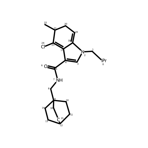 CC(C)Cn1cc(C(=O)NCC23CCC(CC2)CC3)c2c1=CCC(C)C=2Cl